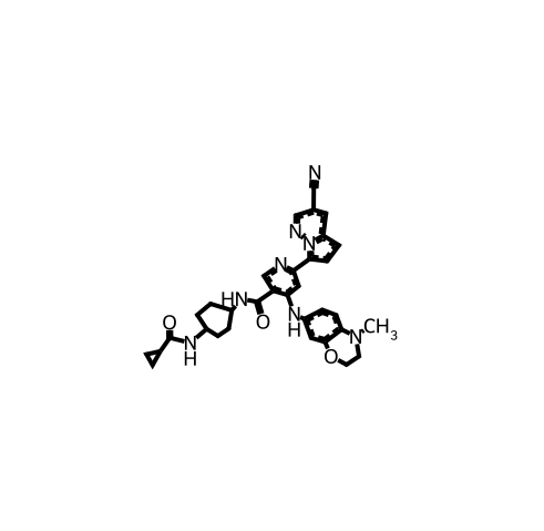 CN1CCOc2cc(Nc3cc(-c4ccc5cc(C#N)cnn45)ncc3C(=O)NC3CCC(NC(=O)C4CC4)CC3)ccc21